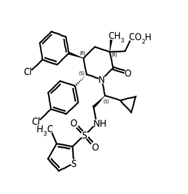 Cc1ccsc1S(=O)(=O)NC[C@H](C1CC1)N1C(=O)[C@@](C)(CC(=O)O)C[C@H](c2cccc(Cl)c2)[C@H]1c1ccc(Cl)cc1